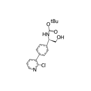 CC(C)(C)OC(=O)N[C@@H](CO)c1ccc(-c2cccnc2Cl)cc1